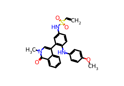 C=CS(=O)(=O)Nc1ccc(Nc2ccc(OC)cc2)c(-c2cn(C)c(=O)c3ccccc23)c1